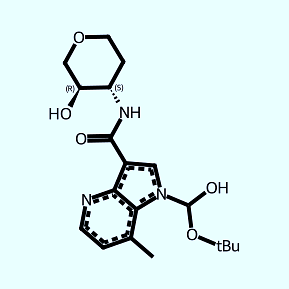 Cc1ccnc2c(C(=O)N[C@H]3CCOC[C@@H]3O)cn(C(O)OC(C)(C)C)c12